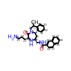 CC(CN1CC[C@@H](CNC(=O)c2ccc3ccccc3c2)N[C@@H](CCCN)C1=O)c1ccccc1